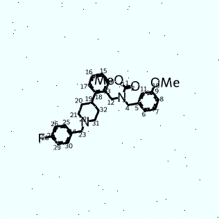 COC(=O)N(Cc1cccc(OC)c1)Cc1ccccc1C1CCN(Cc2ccc(F)cc2)CC1